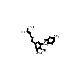 COc1cc(CCC/C=C(\C)C(=O)O)cc(-n2nc3ccc(C(F)(F)F)cc3n2)c1O